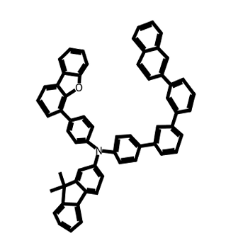 CC1(C)c2ccccc2-c2ccc(N(c3ccc(-c4cccc(-c5cccc(-c6ccc7ccccc7c6)c5)c4)cc3)c3ccc(-c4cccc5c4oc4ccccc45)cc3)cc21